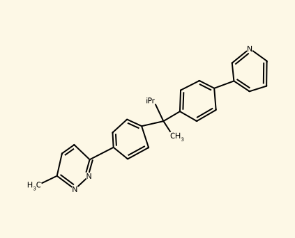 Cc1ccc(-c2ccc(C(C)(c3ccc(-c4cccnc4)cc3)C(C)C)cc2)nn1